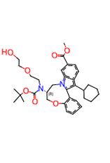 COC(=O)c1ccc2c(C3CCCCC3)c3n(c2c1)C[C@@H](N(CCOCCO)C(=O)OC(C)(C)C)COc1ccccc1-3